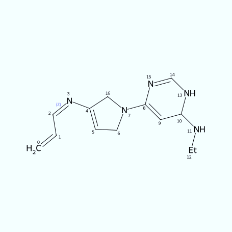 C=C/C=N\C1=CCN(C2=CC(NCC)NC=N2)C1